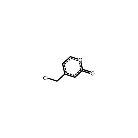 O=c1cc(CCl)cco1